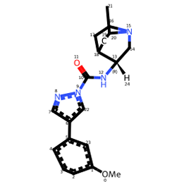 COc1cccc(-c2cnn(C(=O)N[C@H]3CN4CCC3CC4C)c2)c1